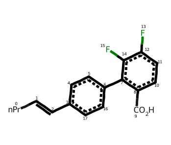 CCC/C=C/c1ccc(-c2c(C(=O)O)ccc(F)c2F)cc1